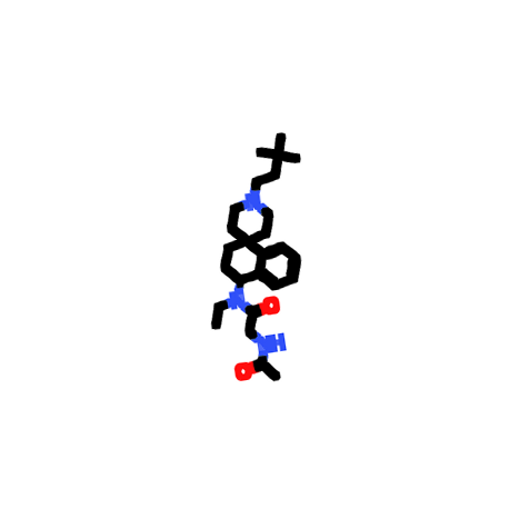 CCN(C(=O)CNC(C)=O)[C@H]1CCC2(CCN(CCC(C)(C)C)CC2)c2ccccc21